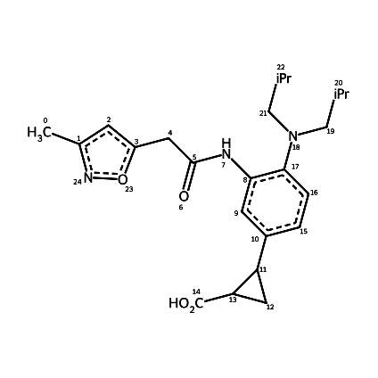 Cc1cc(CC(=O)Nc2cc(C3CC3C(=O)O)ccc2N(CC(C)C)CC(C)C)on1